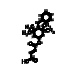 CC1(C)CC(OC(=O)C=CC(=O)O)CC(C)(C)N1Cc1ccccc1